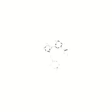 CC1(F)CCC(COc2ccnn2-c2cc(C(=O)O)ccn2)CC1